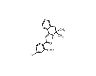 COc1cc(Br)ccc1C(=O)C=C1NC(C)(C)Cc2ccccc21